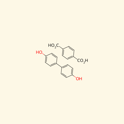 O=C(O)c1ccc(C(=O)O)cc1.Oc1ccc(-c2ccc(O)cc2)cc1